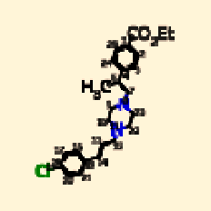 CCOC(=O)c1ccc(C(C)CN2CCN(C/C=C/c3ccc(Cl)cc3)CC2)cc1